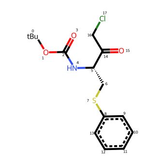 CC(C)(C)OC(=O)N[C@@H](CSc1ccccc1)C(=O)CCl